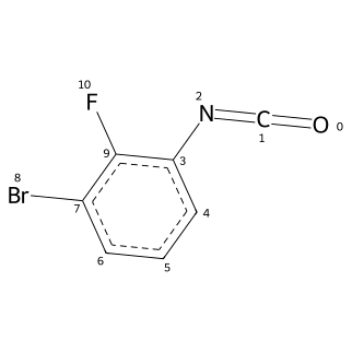 O=C=Nc1cccc(Br)c1F